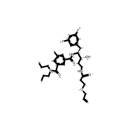 C=CCOCCC(=O)NCC[C@@H](O)[C@H](Cc1cc(F)cc(F)c1)NC(=O)c1cc(C)cc(C(=O)N(CCC)CCC)c1